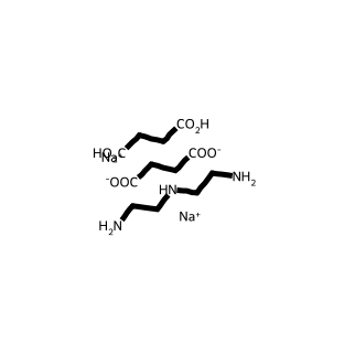 NCCNCCN.O=C(O)CCC(=O)O.O=C([O-])CCC(=O)[O-].[Na+].[Na+]